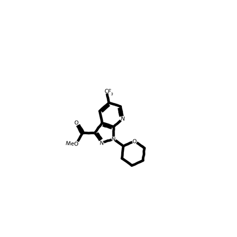 COC(=O)c1nn(C2CCCCO2)c2ncc(C(F)(F)F)cc12